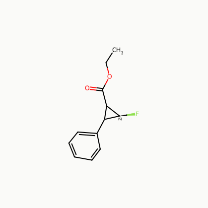 CCOC(=O)C1C(c2ccccc2)[C@@H]1F